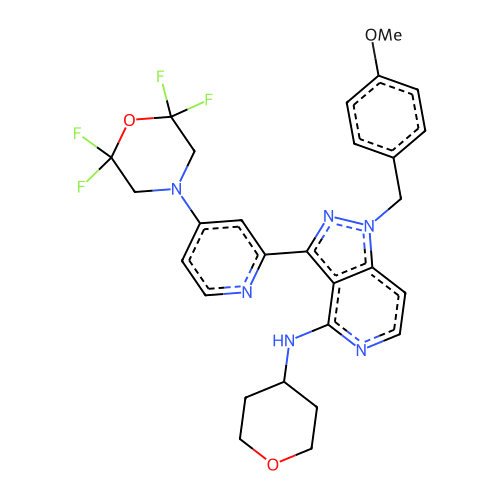 COc1ccc(Cn2nc(-c3cc(N4CC(F)(F)OC(F)(F)C4)ccn3)c3c(NC4CCOCC4)nccc32)cc1